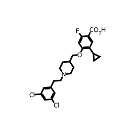 O=C(O)c1cc(C2CC2)c(OCC2CCN(CCc3cc(Cl)cc(Cl)c3)CC2)cc1F